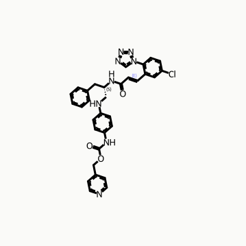 O=C(/C=C/c1cc(Cl)ccc1-n1cnnn1)N[C@H](CNc1ccc(NC(=O)OCc2ccncc2)cc1)Cc1ccccc1